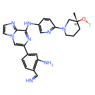 C[C@@]1(OF)CCCN(c2ccc(Nc3nc(-c4ccc(C=N)c(N)c4)cn4ccnc34)cn2)C1